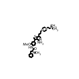 COc1cc(-c2csc3c(C=CCN4CCN(CCN(C)C)CC4)cnc(N)c23)ccc1NC(=O)c1cc2ccccc2n1C